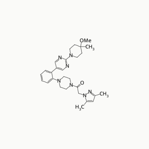 COC1(C)CCN(c2ncc(-c3ccccc3N3CCN(C(=O)Cn4nc(C)cc4C)CC3)cn2)CC1